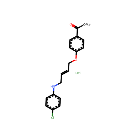 COC(=O)c1ccc(OC/C=C/CNc2ccc(Cl)cc2)cc1.Cl